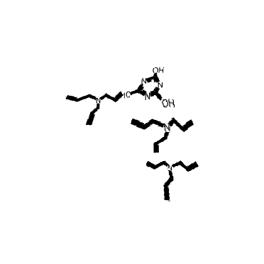 C=CCN(CC=C)CC=C.C=CCN(CC=C)CC=C.C=CCN(CC=C)CC=C.Oc1nc(O)nc(O)n1